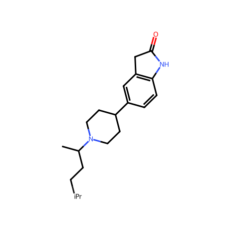 CC(C)CCC(C)N1CCC(c2ccc3c(c2)CC(=O)N3)CC1